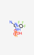 N#Cc1cc(NO[PH](=O)O)n(-c2ccc(F)c(F)c2F)n1